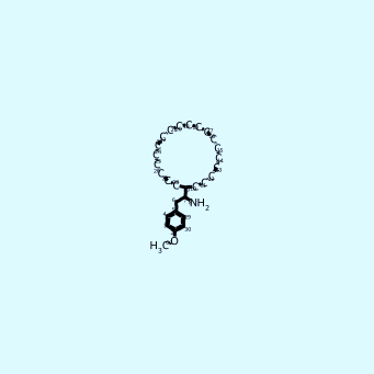 COc1ccc(CC(N)C2CCCCCCCCCCCCCCCCCCC2)cc1